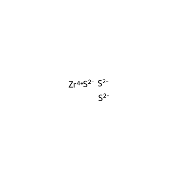 [S-2].[S-2].[S-2].[Zr+4]